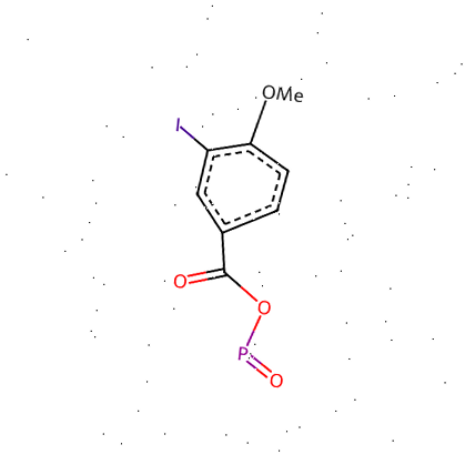 COc1ccc(C(=O)OP=O)cc1I